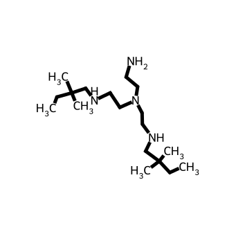 CCC(C)(C)CNCCN(CCN)CCNCC(C)(C)CC